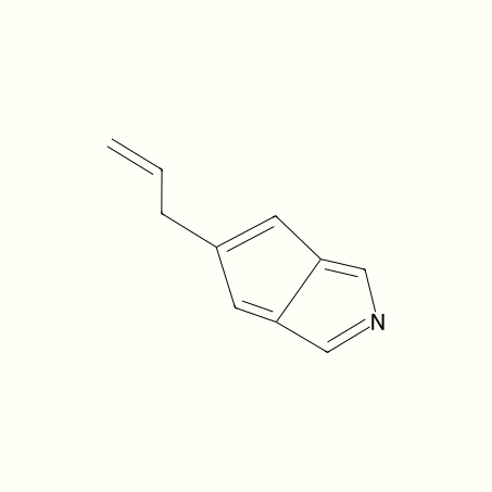 C=CCC1=CC2=CN=CC2=C1